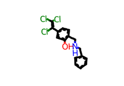 Oc1cc(C(Cl)=C(Cl)Cl)ccc1CNCc1ccccc1